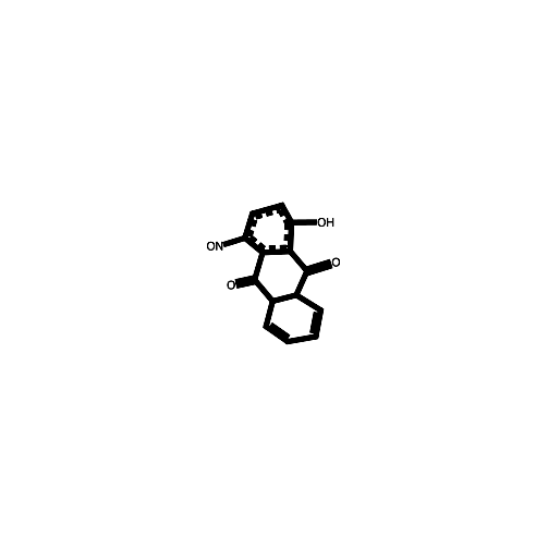 O=Nc1ccc(O)c2c1C(=O)C1C=CC=CC1C2=O